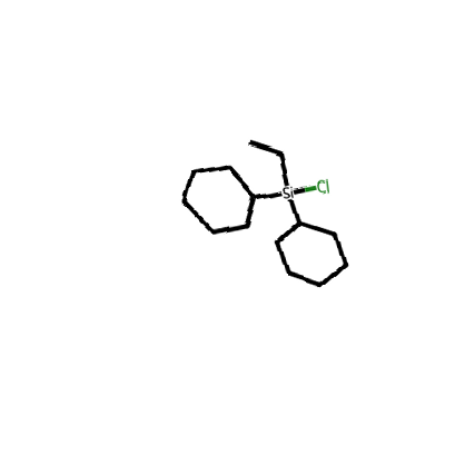 CC[Si](Cl)(C1CCCCC1)C1CCCCC1